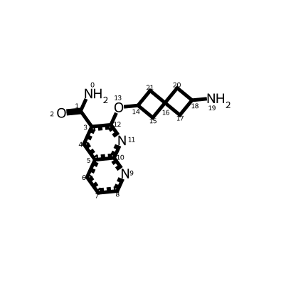 NC(=O)c1cc2cccnc2nc1OC1CC2(CC(N)C2)C1